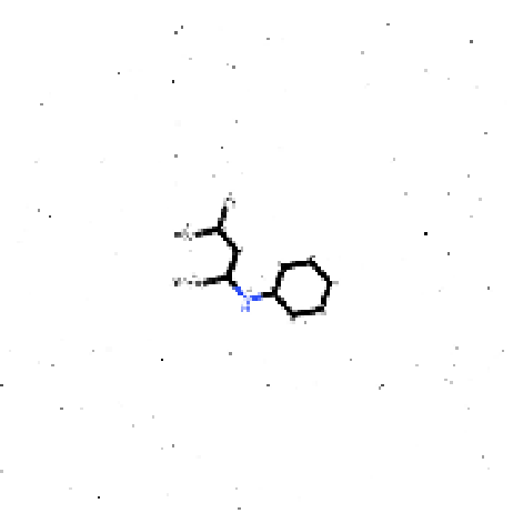 CCCCCCCC(CC(CC)CCCC)NC1CCCCC1